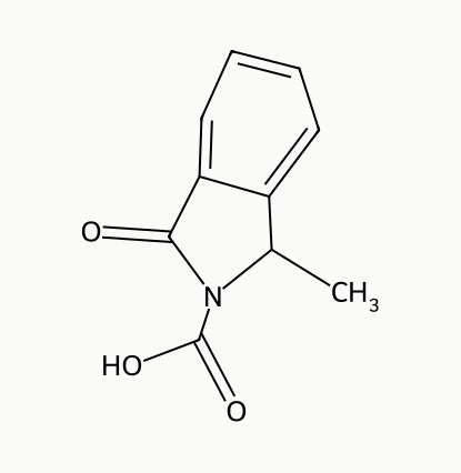 CC1c2ccccc2C(=O)N1C(=O)O